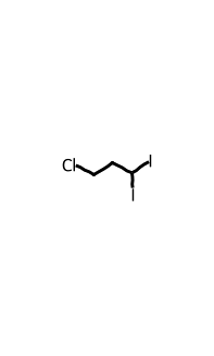 ClCCC(I)I